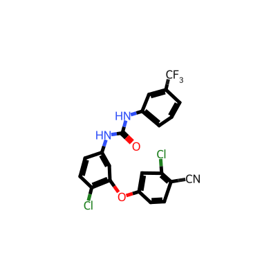 N#Cc1ccc(Oc2cc(NC(=O)Nc3cccc(C(F)(F)F)c3)ccc2Cl)cc1Cl